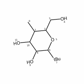 CC1C(CO)OC(C(C)(C)C)C(O)C1O